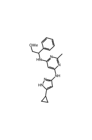 COCC(Nc1cc(Nc2cc(C3CC3)[nH]n2)nc(C)n1)c1ccccc1